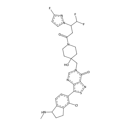 CNC1CCc2c1ccc(-c1snc3c(=O)n(CC4(O)CCN(C(=O)CC(C(F)F)n5ccc(F)n5)CC4)cnc13)c2Cl